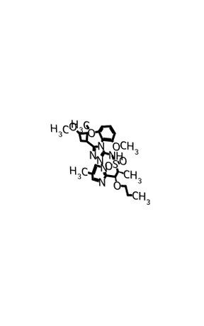 CCCO[C@@H](c1ncc(C)cn1)[C@H](C)S(=O)(=O)Nc1nnc(C2CC(OC)C2)n1-c1c(OC)cccc1OC